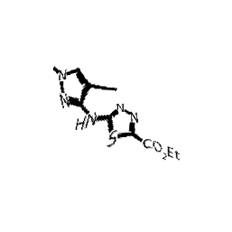 CCOC(=O)c1nnc(Nc2nn(C)cc2C)s1